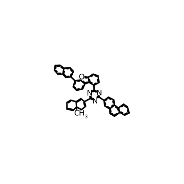 CC12C=CC=CC1=CC(c1nc(-c3ccc4c(ccc5ccccc54)c3)nc(-c3cccc4oc5c(-c6ccc7ccccc7c6)cccc5c34)n1)=CC2